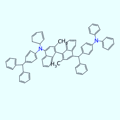 Cc1cc(C(c2ccccc2)c2ccc(N(c3ccccc3)c3ccccc3)cc2)c2ccccc2c1-c1c(C)cc(N(c2ccc(C(c3ccccc3)c3ccccc3)cc2)C2C=CC=CC2)c2ccccc12